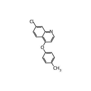 Cc1ccc(Oc2ccnc3cc(Cl)ccc23)cc1